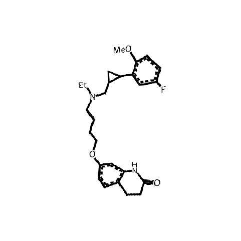 CCN(CCCCOc1ccc2c(c1)NC(=O)CC2)CC1CC1c1cc(F)ccc1OC